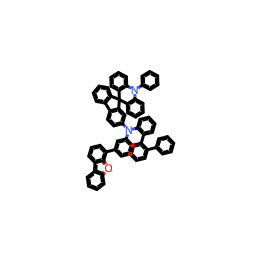 c1ccc(-c2ccccc2-c2ccccc2N(c2cccc(-c3cccc4c3oc3ccccc34)c2)c2ccc3c(c2)C2(c4ccccc4-3)c3ccccc3N(c3ccccc3)c3ccccc32)cc1